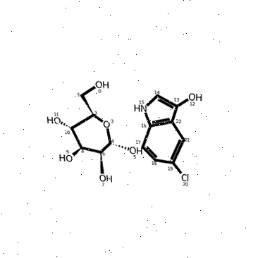 OC[C@H]1O[C@H](O)[C@@H](O)[C@@H](O)[C@@H]1O.Oc1c[nH]c2ccc(Cl)cc12